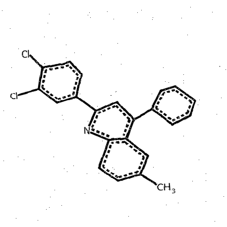 Cc1ccc2nc(-c3ccc(Cl)c(Cl)c3)cc(-c3ccccc3)c2c1